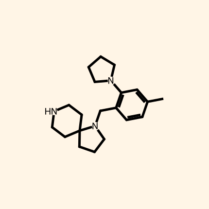 Cc1ccc(CN2CCCC23CCNCC3)c(N2CCCC2)c1